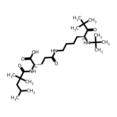 CC(C)CC(C)(C)C(=O)N[C@@H](CCC(=O)NCCCC[C@H](NC(C)(C)C)C(=O)C(C)(C)C)C(=O)O